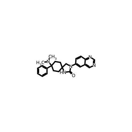 CN(C)C1(c2ccccc2)CCC2(CC1)CN(c1ccc3ncncc3c1)C(=O)N2